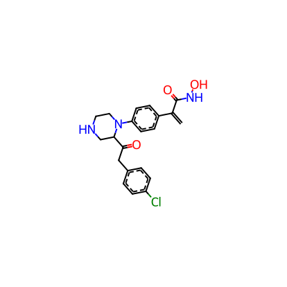 C=C(C(=O)NO)c1ccc(N2CCNCC2C(=O)Cc2ccc(Cl)cc2)cc1